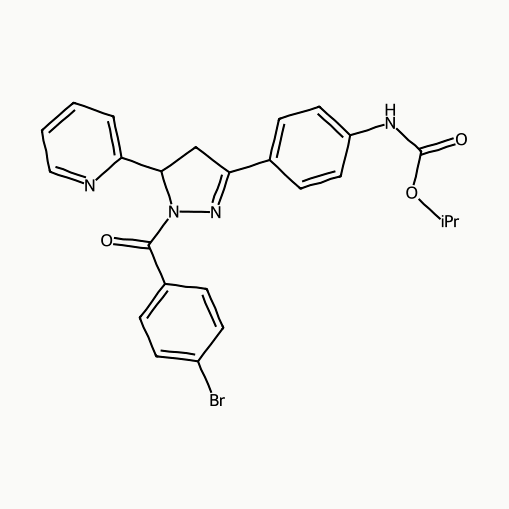 CC(C)OC(=O)Nc1ccc(C2=NN(C(=O)c3ccc(Br)cc3)C(c3ccccn3)C2)cc1